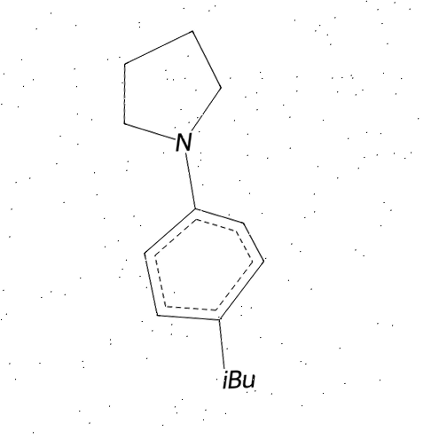 CCC(C)c1ccc(N2CCCC2)cc1